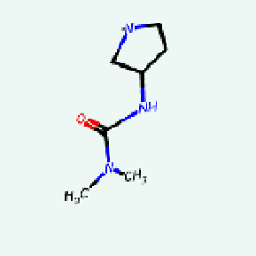 CN(C)C(=O)NC1CC[N]C1